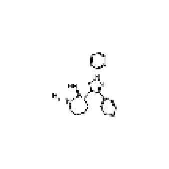 CN1CCCCC(C2CN(c3ccccc3)N=C2c2ccccc2)C1=N